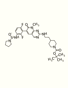 Cn1c(=O)c(-c2c(F)ccc(N[S+]([O-])N3CCCC3)c2F)cc2cnc(NCCC3CCN(C(=O)OC(C)(C)C)CC3)nc21